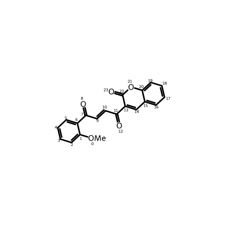 COc1ccccc1C(=O)/C=C/C(=O)c1cc2ccccc2oc1=O